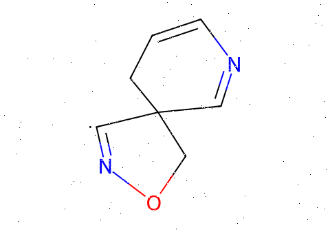 [C]1=NOCC12C=NC=CC2